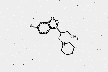 CCC(NN1CCCCC1)c1noc2cc(F)ccc12